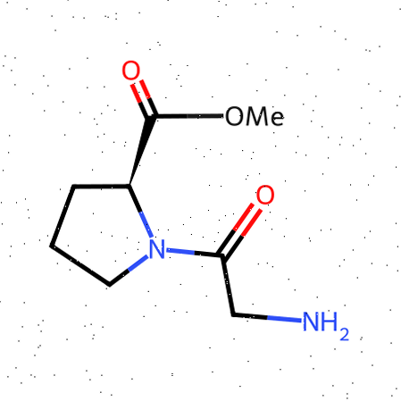 COC(=O)[C@@H]1CCCN1C(=O)CN